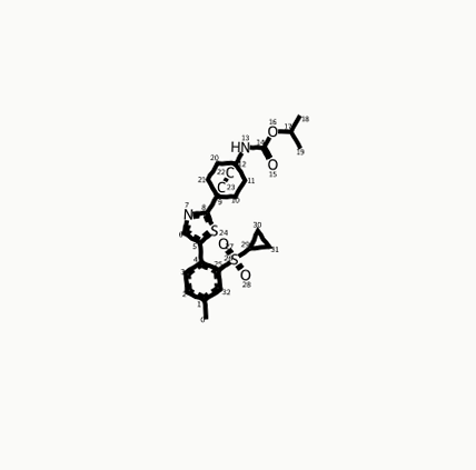 Cc1ccc(-c2cnc(C34CCC(NC(=O)OC(C)C)(CC3)CC4)s2)c(S(=O)(=O)C2CC2)c1